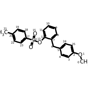 COc1ccc(Cc2ccccc2OS(=O)(=O)c2ccc(C)cc2)cc1